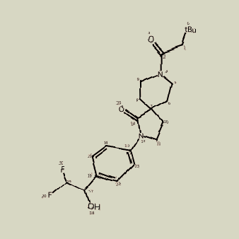 CC(C)(C)CC(=O)N1CCC2(CC1)CCN(c1ccc(C(O)C(F)F)cc1)C2=O